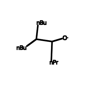 CCCCC(CCCC)C([O])CCC